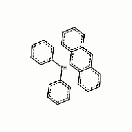 c1ccc(Pc2ccccc2)cc1.c1ccc2cc3ccccc3cc2c1